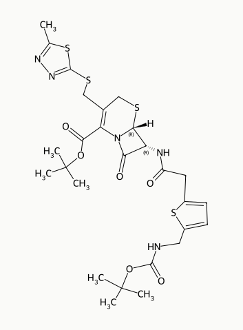 Cc1nnc(SCC2=C(C(=O)OC(C)(C)C)N3C(=O)[C@@H](NC(=O)Cc4ccc(CNC(=O)OC(C)(C)C)s4)[C@H]3SC2)s1